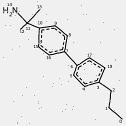 CCCc1ccc(-c2ccc(C(C)(C)N)cc2)cc1